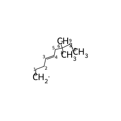 [CH2]CC/C=C/CC(C)(C)CC